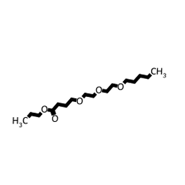 CCCCCOCCOCCOCCCC(=O)OCCC